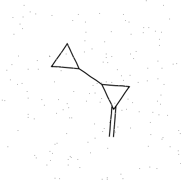 C=C1CC1C1CC1